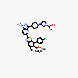 Cc1cc2nc(-c3ccc4c(n3)c(C3CCN([C@H]5CCN(C(C)O)C5)CC3)nn4C)sc2c(-c2ccc(Cl)cc2)c1[C@H](OC(C)(C)C)C(=O)O